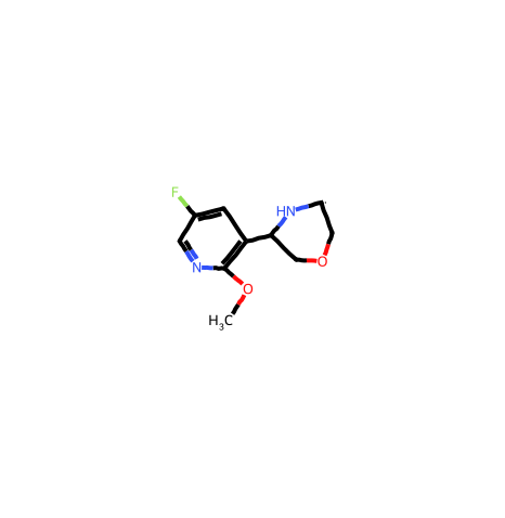 COc1ncc(F)cc1C1COC[CH]N1